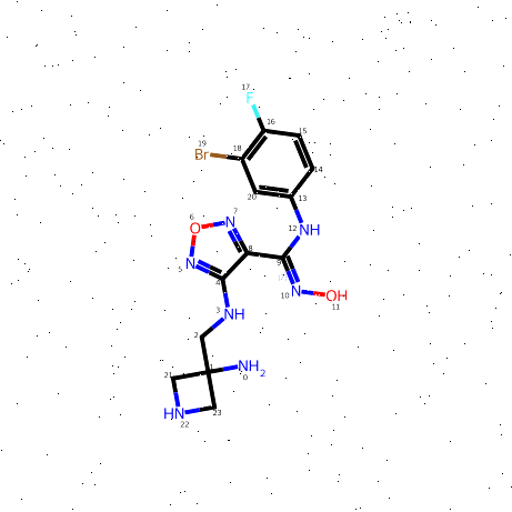 NC1(CNc2nonc2/C(=N/O)Nc2ccc(F)c(Br)c2)CNC1